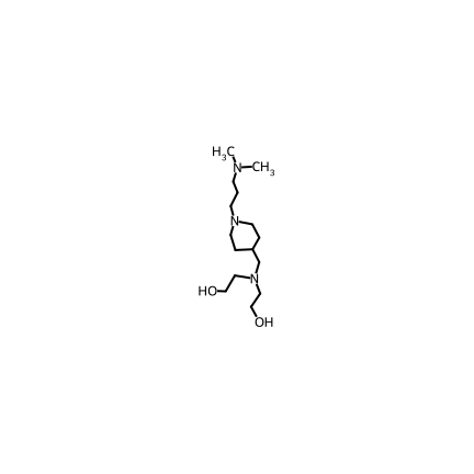 CN(C)CCCN1CCC(CN(CCO)CCO)CC1